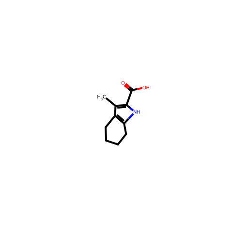 Cc1c(C(=O)O)[nH]c2c1CCCC2